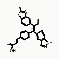 CC/C(=C(/c1ccc(/C=C/C(=O)O)cc1)c1ccc2[nH]ncc2c1)c1ccc2sc(C)nc2c1